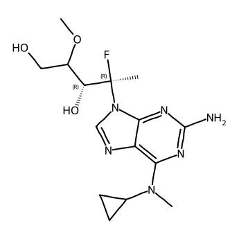 COC(CO)[C@@H](O)[C@@](C)(F)n1cnc2c(N(C)C3CC3)nc(N)nc21